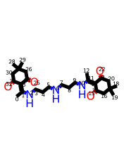 CC(NCCCNCCCNC(C)=C1C(=O)CC(C)(C)CC1=O)=C1C(=O)CC(C)(C)CC1=O